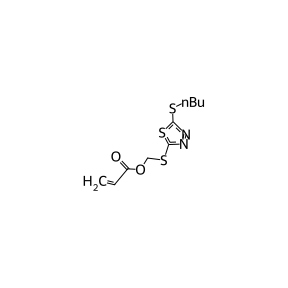 C=CC(=O)OCSc1nnc(SCCCC)s1